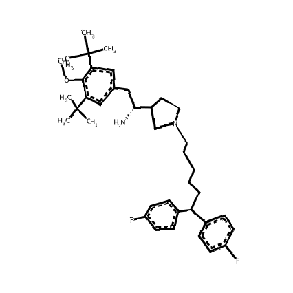 COc1c(C(C)(C)C)cc(C[C@@H](N)C2CCN(CCCCCC(c3ccc(F)cc3)c3ccc(F)cc3)C2)cc1C(C)(C)C